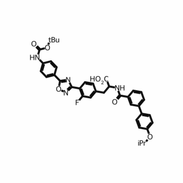 CC(C)Oc1ccc(-c2cccc(C(=O)NC(Cc3ccc(-c4noc(-c5ccc(NC(=O)OC(C)(C)C)cc5)n4)c(F)c3)C(=O)O)c2)cc1